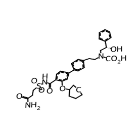 NC(=O)CCS(=O)(=O)NC(=O)c1ccc(-c2ccc(CCN(C[C@@H](O)c3ccccc3)C(=O)O)cc2)cc1OC1CCCCC1